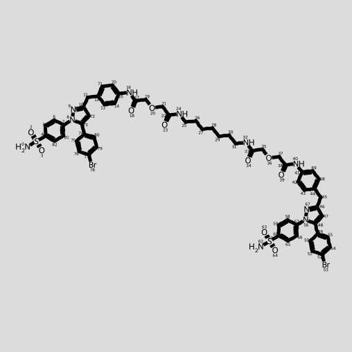 NS(=O)(=O)c1ccc(-n2nc(Cc3ccc(NC(=O)COCC(=O)NCCCCCCCNC(=O)COCC(=O)Nc4ccc(Cc5cc(-c6ccc(Br)cc6)n(-c6ccc(S(N)(=O)=O)cc6)n5)cc4)cc3)cc2-c2ccc(Br)cc2)cc1